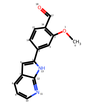 COc1cc(-c2cc3cccnc3[nH]2)ccc1C=O